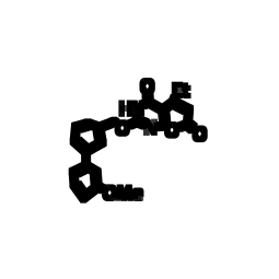 CCc1cc(=O)oc2nc(OCc3cccc(-c4cccc(OC)c4)c3)[nH]c(=O)c12